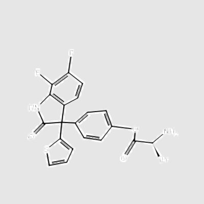 CC(C)[C@H](N)C(=O)Oc1ccc(C2(c3cccs3)C(=O)Nc3c2ccc(F)c3F)cc1